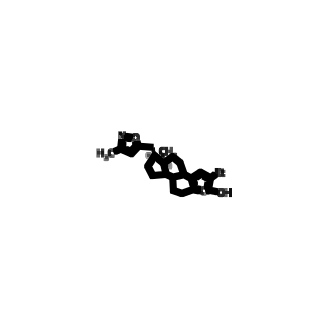 CCc1cc2c(cc1O)CCC1C2CC[C@@]2(C)C1CC[C@@H]2Cc1cc(C)no1